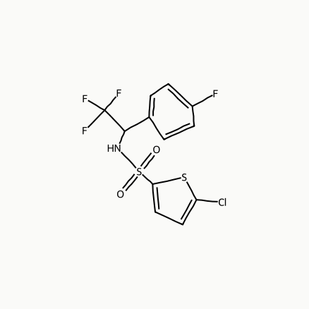 O=S(=O)(NC(c1ccc(F)cc1)C(F)(F)F)c1ccc(Cl)s1